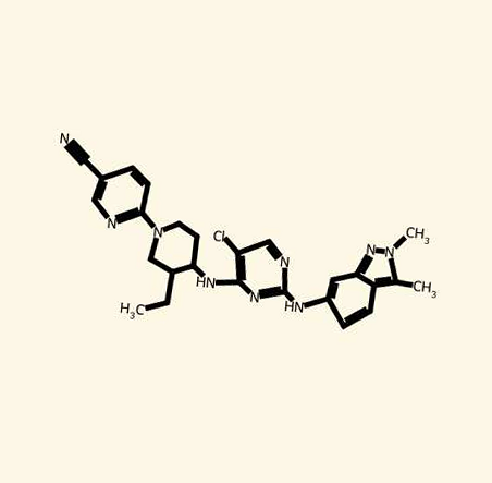 CCC1CN(c2ccc(C#N)cn2)CCC1Nc1nc(Nc2ccc3c(C)n(C)nc3c2)ncc1Cl